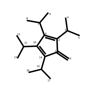 C=C1C(C(C)C)=C(C(C)C)C(C(C)C)=C1C(C)C